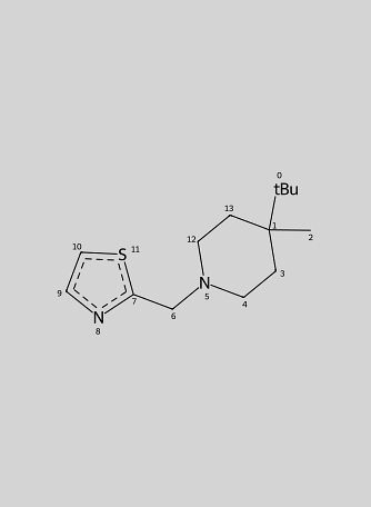 CC(C)(C)C1(C)CCN(Cc2nccs2)CC1